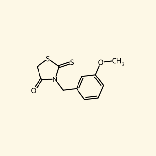 COc1cccc(CN2C(=O)CSC2=S)c1